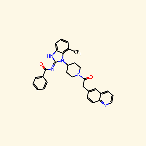 O=C(/N=c1\[nH]c2cccc(C(F)(F)F)c2n1C1CCN(C(=O)Cc2ccc3ncccc3c2)CC1)c1ccccc1